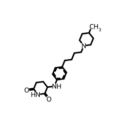 CC1CCN(CCCCc2ccc(NC3CCC(=O)NC3=O)cc2)CC1